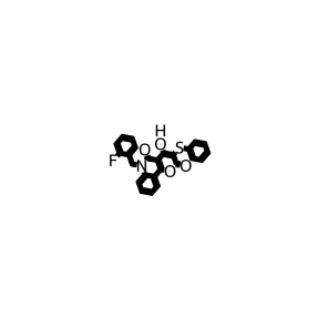 O=c1oc2c(c(O)c1Sc1ccccc1)c(=O)n(Cc1ccccc1F)c1ccccc21